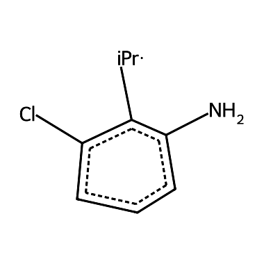 C[C](C)c1c(N)cccc1Cl